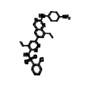 CCc1cc(-c2cc(CC)c3nc(NC4CCC(N)CC4)ncc3c2)nnc1NS(=O)(=O)c1ccccc1Cl